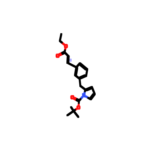 CCOC(=O)/C=C/c1cccc(Cc2cccn2C(=O)OC(C)(C)C)c1